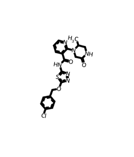 CC1CNC(=O)CN1c1ncccc1C(=O)Nc1nnc(OCc2ccc(Cl)cc2)s1